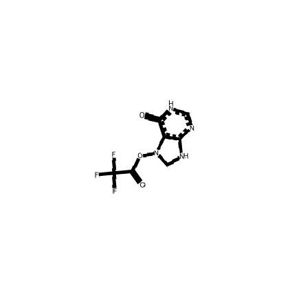 O=C(ON1CNc2nc[nH]c(=O)c21)C(F)(F)F